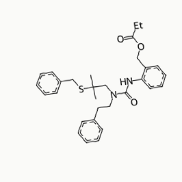 CCC(=O)OCc1ccccc1NC(=O)N(CCc1ccccc1)CC(C)(C)SCc1ccccc1